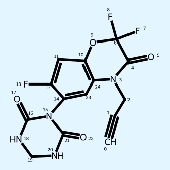 C#CCN1C(=O)C(F)(F)Oc2cc(F)c(N3C(=O)NCNC3=O)cc21